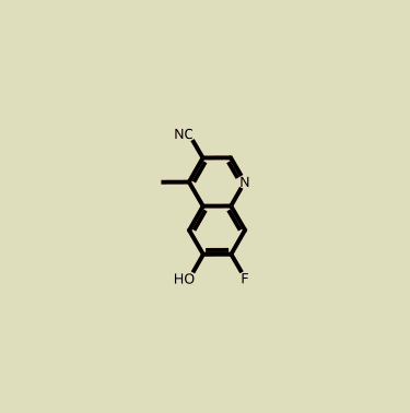 Cc1c(C#N)cnc2cc(F)c(O)cc12